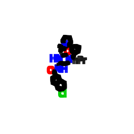 CCC[C@@H](c1ccccc1)N1CC[C@H](CNC(=O)c2ccc3cc(Cl)ccc3c2)N[C@H](CC(C)(C)N2CCCCC2)C1=O